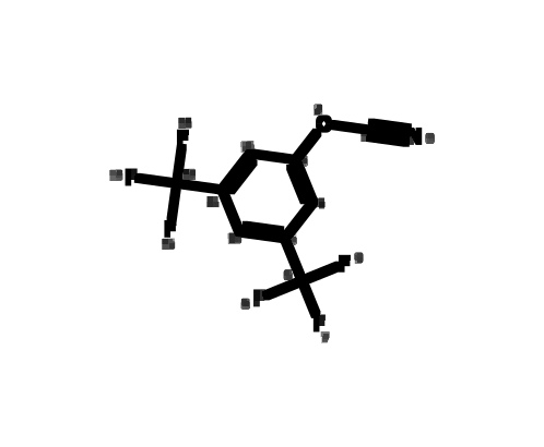 N#COc1cc(C(F)(F)F)cc(C(F)(F)F)c1